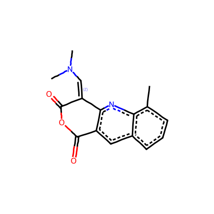 Cc1cccc2cc3c(nc12)/C(=C/N(C)C)C(=O)OC3=O